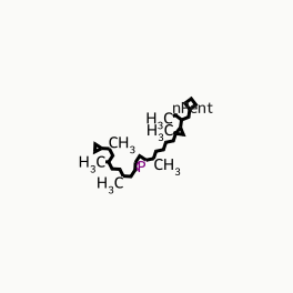 CCCCCC(C)C(CC1CCC1)C1CC1(C)CCCCC(C)C1CC2C(CC(C)CCC(C)CC(C)C3CC3)P12